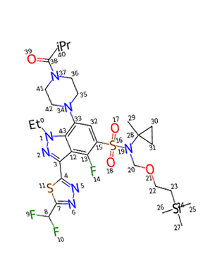 CCn1nc(-c2nnc(C(F)F)s2)c2c(F)c(S(=O)(=O)N(COCC[Si](C)(C)C)C3(C)CC3)cc(N3CCN(C(=O)C(C)C)CC3)c21